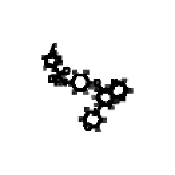 Cn1ccc(S(=O)(=O)N[C@H]2CC[C@@H](Oc3cc(N4CCOCC4)cc4nccnc34)CC2)n1